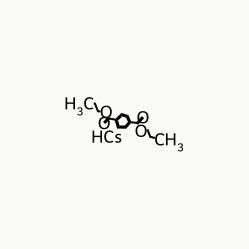 CCCOC(=O)c1ccc(C(=O)OCCC)cc1.[CsH]